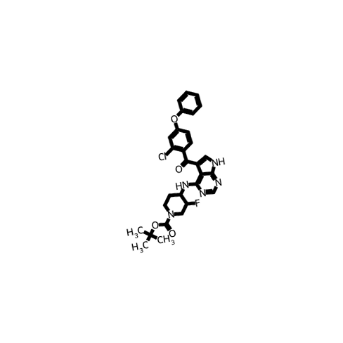 CC(C)(C)OC(=O)N1CCC(Nc2ncnc3[nH]cc(C(=O)c4ccc(Oc5ccccc5)cc4Cl)c23)C(F)C1